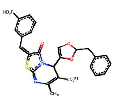 CCOC(=O)C1=C(C)N=c2sc(=Cc3cccc(C(=O)O)c3)c(=O)n2C1C1=COC(Cc2ccccc2)O1